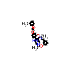 CC(=O)N1CC2CC(c3ccc(OCCOc4cccc(C)c4)cc3)=C(C(=O)N(C)CCc3ccccc3)C(C1)N2